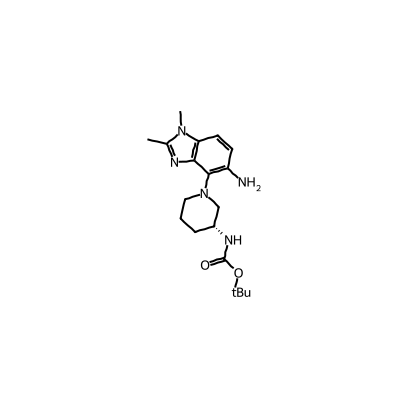 Cc1nc2c(N3CCC[C@@H](NC(=O)OC(C)(C)C)C3)c(N)ccc2n1C